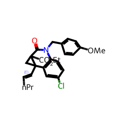 CCC/C=C/C12CC1(C(=O)OCC)C(=O)N(Cc1ccc(OC)cc1)c1ccc(Cl)cc12